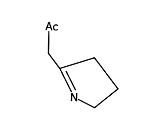 C[13C](=O)CC1=NCCC1